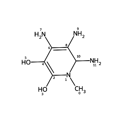 CN1C(O)=C(O)C(N)=C(N)C1N